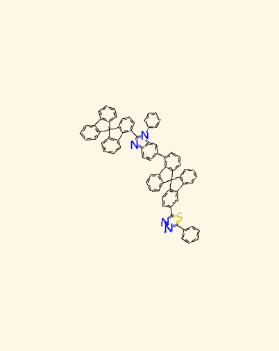 c1ccc(-c2nnc(-c3ccc4c(c3)-c3ccccc3C43c4ccccc4-c4c(-c5ccc6nc(-c7cccc8c7-c7ccccc7C87c8ccccc8-c8ccccc87)n(-c7ccccc7)c6c5)cccc43)s2)cc1